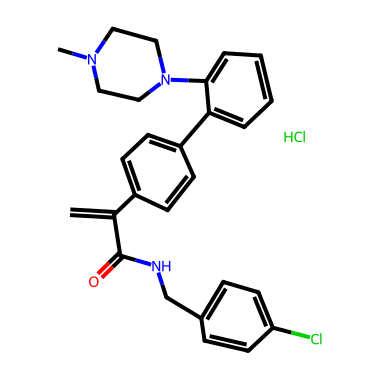 C=C(C(=O)NCc1ccc(Cl)cc1)c1ccc(-c2ccccc2N2CCN(C)CC2)cc1.Cl